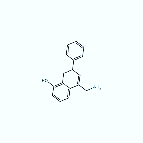 NCC1=CC(c2ccccc2)Cc2c(O)cccc21